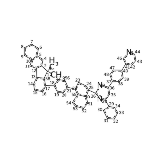 CC1(C)c2cc3ccccc3cc2-c2cccc(-c3ccc(-c4ccc(-c5nc(-c6ccccc6)cc(-c6ccc(-c7cccnc7)cc6)n5)c5ccccc45)cc3)c21